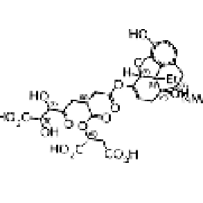 CC[C@]12c3c4ccc(O)c3O[C@H]1C(OC(=O)C[C@H](CC(=O)[C@H](O)[C@@H](O)C(=O)O)C(=O)O[C@H](CC(=O)O)C(=O)O)=CC[C@@]2(O)[C@H](NC)C4